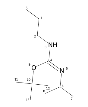 CCCNC(=NC(C)C)OC(C)(C)C